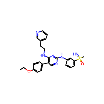 CCOc1ccc(-c2cnc(Nc3cccc(S(C)(=N)=O)c3)nc2NCCc2cccnc2)cc1